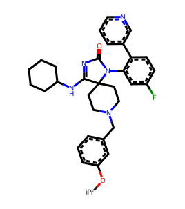 CC(C)Oc1cccc(CN2CCC3(CC2)C(NC2CCCCC2)=NC(=O)N3c2cc(F)ccc2-c2cccnc2)c1